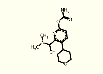 CC(c1nc(OC(N)=O)ccc1C1CCOCC1)N(C)C